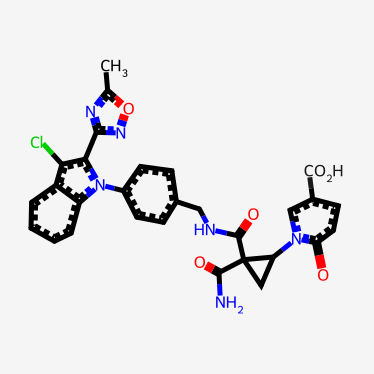 Cc1nc(-c2c(Cl)c3ccccc3n2-c2ccc(CNC(=O)C3(C(N)=O)CC3n3cc(C(=O)O)ccc3=O)cc2)no1